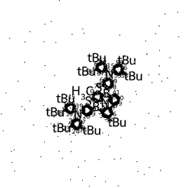 Cc1c2c3c4c5c1Sc1cc(N(c6cc(C(C)(C)C)cc(C(C)(C)C)c6)c6cc(C(C)(C)C)cc(C(C)(C)C)c6)ccc1B5c1cc(C(C)(C)C)cc5c6cccc(c6n-4c15)B3c1ccc(N(c3cc(C(C)(C)C)cc(C(C)(C)C)c3)c3cc(C(C)(C)C)cc(C(C)(C)C)c3)cc1S2